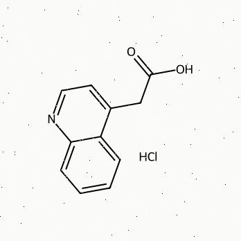 Cl.O=C(O)Cc1ccnc2ccccc12